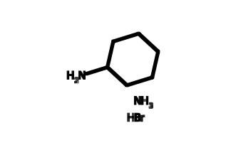 Br.N.NC1CCCCC1